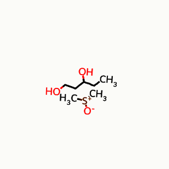 CCC(O)CCO.C[S+](C)[O-]